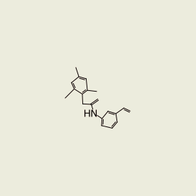 C=Cc1cccc(NC(=C)Cc2c(C)cc(C)cc2C)c1